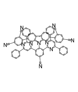 N#Cc1ccc(-c2ccc3c4ccc(-c5ccc(C#N)cc5C#N)cc4n(-c4c(-c5cc(-c6ccccc6)nc(-c6ccccc6)n5)cc(C#N)cc4-c4nc(-c5ccccc5)cc(-c5ccccc5)n4)c3c2)c(C#N)c1